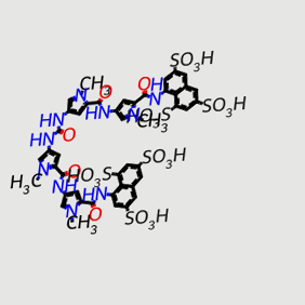 Cn1cc(NC(=O)Nc2cc(C(=O)Nc3cc(C(=O)Nc4cc(S(=O)(=O)O)cc5cc(S(=O)(=O)O)cc(S(=O)(=O)O)c45)n(C)c3)n(C)c2)cc1C(=O)Nc1cc(C(=O)Nc2cc(S(=O)(=O)O)cc3cc(S(=O)(=O)O)cc(S(=O)(=O)O)c23)n(C)c1